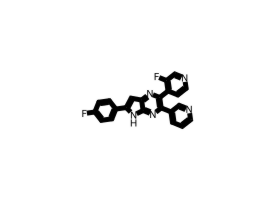 Fc1ccc(-c2cc3nc(-c4ccncc4F)c(-c4cccnc4)nc3[nH]2)cc1